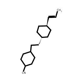 C/C=C/[C@H]1CC[C@H](CCC2CCC(C#N)CC2)CC1